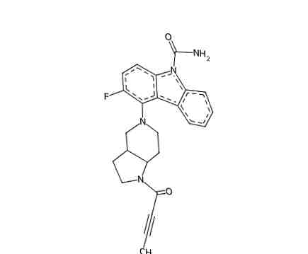 CC#CC(=O)N1CCC2CN(c3c(F)ccc4c3c3ccccc3n4C(N)=O)CCC21